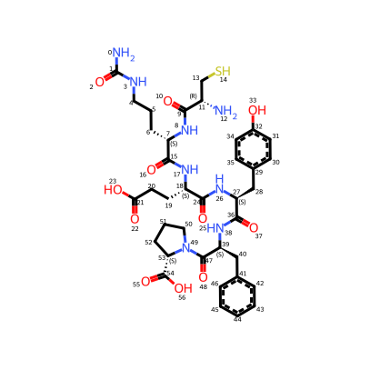 NC(=O)NCCC[C@H](NC(=O)[C@@H](N)CS)C(=O)N[C@@H](CCC(=O)O)C(=O)N[C@@H](Cc1ccc(O)cc1)C(=O)N[C@@H](Cc1ccccc1)C(=O)N1CCC[C@H]1C(=O)O